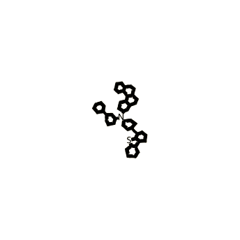 c1ccc(-c2cccc(N(c3ccc(-c4cccc5c4sc4ccccc45)cc3)c3ccc4c(ccc5ccc6ccccc6c54)c3)c2)cc1